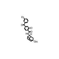 CCc1cccc(C(=O)c2ccc(C(=O)N[C@H]3C4CC5CC3C[C@](O)(C5)C4)c(Cl)c2)c1